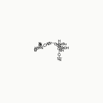 Cc1ncsc1-c1ccc(CNC(=O)[C@@H]2C[C@@H](O)CN2C(=O)[C@@H](NC(=O)COCCCN2CCN(c3ccc(-c4ncc(NCc5ccco5)n5cnnc45)cc3)CC2)C(C)(C)C)cc1